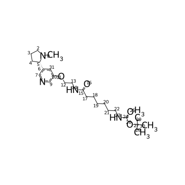 CN1CCC[C@H]1c1cncc(OCCNC(=O)CCCCCCNC(=O)OC(C)(C)C)c1